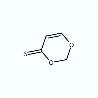 S=C1C=COCO1